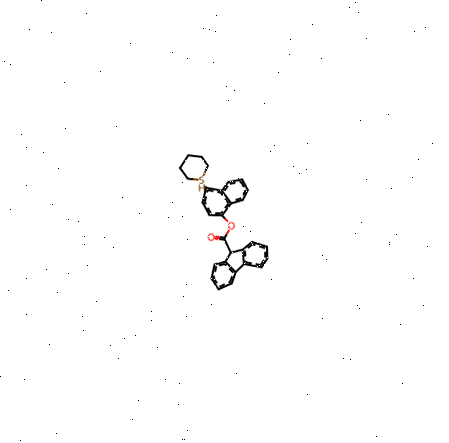 O=C(Oc1ccc([SH]2CCCCC2)c2ccccc12)C1c2ccccc2-c2ccccc21